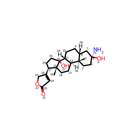 C[C@]12CC[C@](N)(O)C[C@H]1CC[C@@H]1[C@@H]2CC[C@]2(C)[C@@H](C3=CC(=O)OC3)CC[C@]12O